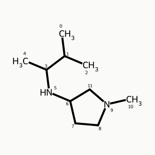 CC(C)C(C)NC1CCN(C)C1